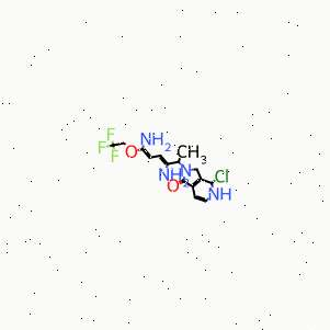 CC(/C(N)=C/C=C(\N)OCC(F)(F)F)N1CC2=C(C=CNC2Cl)C1=O